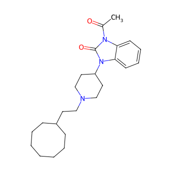 CC(=O)n1c(=O)n(C2CCN(CCC3CCCCCCC3)CC2)c2ccccc21